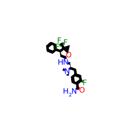 CN(C)[C@H](CNC(=O)C[C@@H](c1ccccc1)C1(C(F)(F)F)CC1)Cc1ccc(C(N)=O)c(F)c1